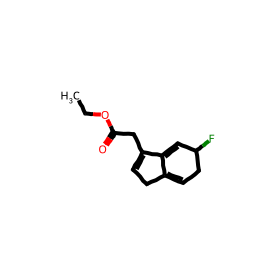 CCOC(=O)CC1=CCC2=CCC(F)C=C21